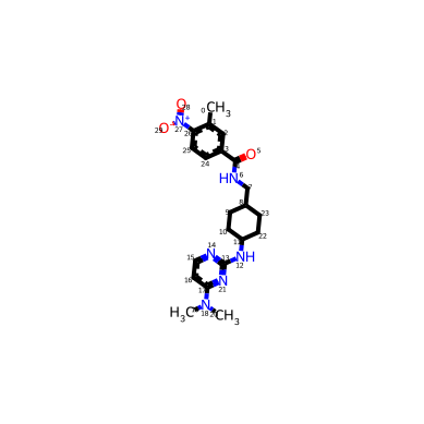 Cc1cc(C(=O)NCC2CCC(Nc3nccc(N(C)C)n3)CC2)ccc1[N+](=O)[O-]